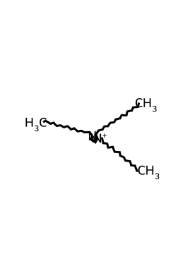 CCCCCCCCCCCCCCCc1n(CCCCCCCCCCCCCC)cc[n+]1CCCCCCCCCCCCCCC